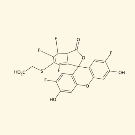 O=C(O)CSC1=C(F)C(F)C2C(=O)OC3(C2=C1F)c1cc(F)c(O)cc1Oc1cc(O)c(F)cc13